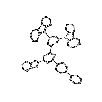 c1ccc(-c2ccc(-c3nc(-c4cc(-n5c6ccccc6c6ccccc65)cc(-n5c6ccccc6c6ccccc65)c4)nc(-c4cc5ccccc5o4)n3)cc2)cc1